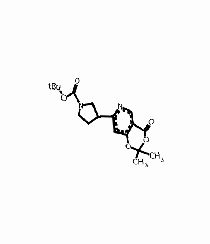 CC(C)(C)OC(=O)N1CCC(c2cc3c(cn2)C(=O)OC(C)(C)O3)C1